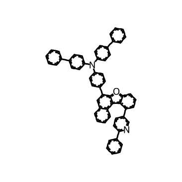 c1ccc(-c2ccc(N(c3ccc(-c4ccccc4)cc3)c3ccc(-c4cc5ccccc5c5c4oc4cccc(-c6ccc(-c7ccccc7)nc6)c45)cc3)cc2)cc1